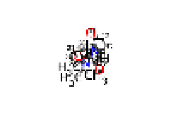 CC(C)(C)N1C(=O)[C@@H]2[C@H](C1=O)[C@@H]1C=CC(=O)[C@H]2N1Cc1ccccc1